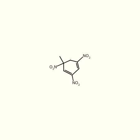 CC1([N+](=O)[O-])[CH]C([N+](=O)[O-])=CC([N+](=O)[O-])=C1